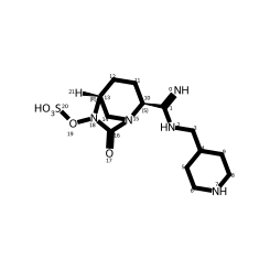 N=C(NCC1CCNCC1)[C@@H]1CC[C@@H]2CN1C(=O)N2OS(=O)(=O)O